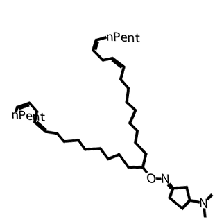 CCCCC/C=C\C/C=C\CCCCCCCCC(CCCCCCCC/C=C\C/C=C\CCCCC)O/N=C1\CCC(N(C)C)C1